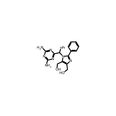 CCCC(c1nc(N)nc(N)n1)n1c(-c2ccccc2)nc(CO)c1CO